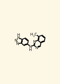 Cc1cccc2cnc(Nc3ccc4[nH]nnc4c3)nc12